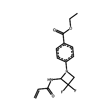 C=CC(=O)NC1N(c2ccc(C(=O)OCC)cc2)CC1(F)F